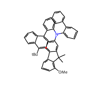 COc1cccc2c1C(C)(C)c1cc(N(c3ccccc3-c3ccccc3)c3ccccc3-c3ccc(C(C)(C)C)c4ccccc34)ccc1-2